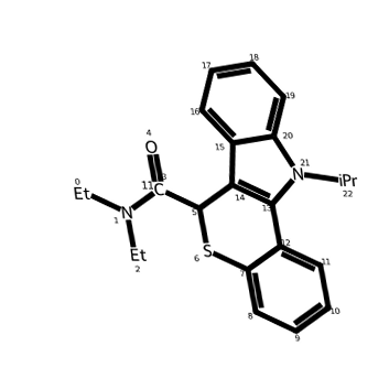 CCN(CC)[11C](=O)C1Sc2ccccc2-c2c1c1ccccc1n2C(C)C